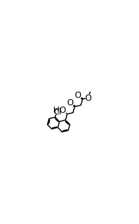 COC(=O)CC(=O)C[C@H](O)c1cccc2cccc(Cl)c12